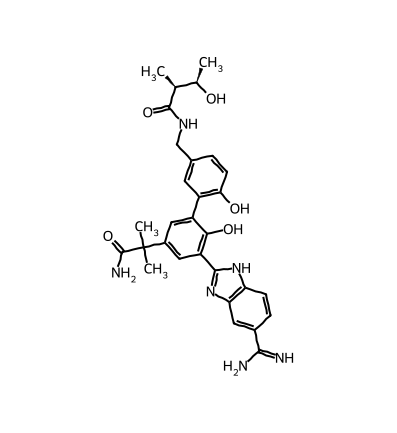 C[C@H](C(=O)NCc1ccc(O)c(-c2cc(C(C)(C)C(N)=O)cc(-c3nc4cc(C(=N)N)ccc4[nH]3)c2O)c1)[C@@H](C)O